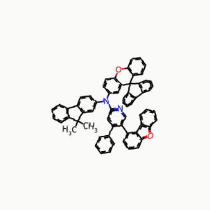 CC1(C)c2ccccc2-c2ccc(N(c3ccc4c(c3)C3(c5ccccc5O4)c4ccccc4-c4ccccc43)c3cc(-c4ccccc4)c(-c4cccc5oc6ccccc6c45)cn3)cc21